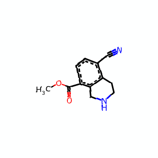 COC(=O)c1ccc(C#N)c2c1CNCC2